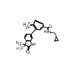 Cc1ccc(C(=O)NCC2CC2)cc1-c1ccc2c(c1)NC(=O)C2(C)C